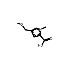 COCc1cc(C(=O)O)n(C)c1